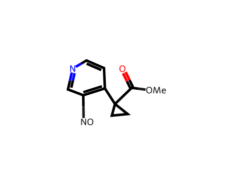 COC(=O)C1(c2ccncc2N=O)CC1